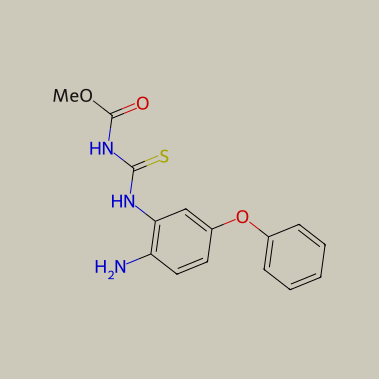 COC(=O)NC(=S)Nc1cc(Oc2ccccc2)ccc1N